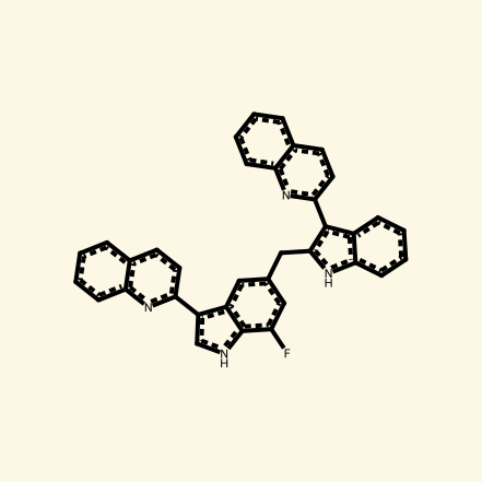 Fc1cc(Cc2[nH]c3ccccc3c2-c2ccc3ccccc3n2)cc2c(-c3ccc4ccccc4n3)c[nH]c12